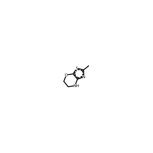 Cc1nc2c(s1)OCCN2